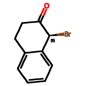 O=C1CCc2ccccc2[C@@H]1Br